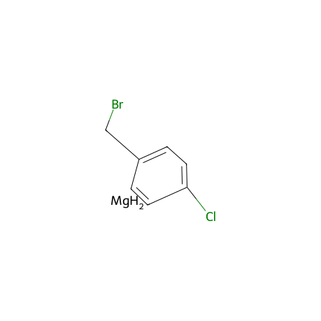 Clc1ccc(CBr)cc1.[MgH2]